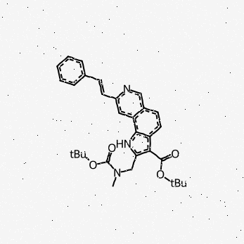 CN(Cc1[nH]c2c(ccc3cnc(/C=C/c4ccccc4)cc32)c1C(=O)OC(C)(C)C)C(=O)OC(C)(C)C